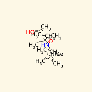 CC=CC(C=CC)(CC(C)(C)CNC(=O)C(C=CC)(C=CC)CC(C)(C)CC(C)C#CO)NC